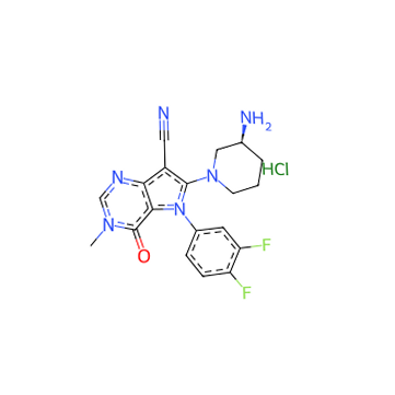 Cl.Cn1cnc2c(C#N)c(N3CCC[C@H](N)C3)n(-c3ccc(F)c(F)c3)c2c1=O